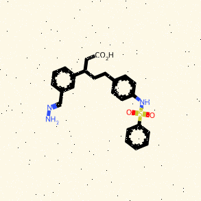 NN=Cc1cccc(C(CCc2ccc(NS(=O)(=O)c3ccccc3)cc2)CC(=O)O)c1